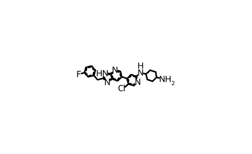 NC1CCC(Nc2cc(-c3cnc4[nH]c(Cc5cccc(F)c5)nc4c3)c(Cl)cn2)CC1